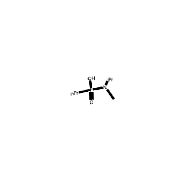 CCCP(=O)(O)N(C)C(C)C